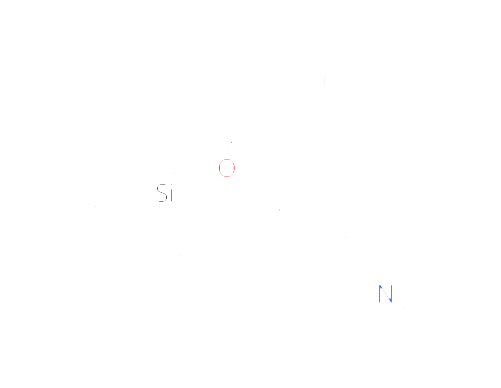 CC(C#N)(O[Si](C)(C)C)C1CC1